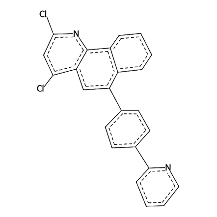 Clc1cc(Cl)c2cc(-c3ccc(-c4ccccn4)cc3)c3ccccc3c2n1